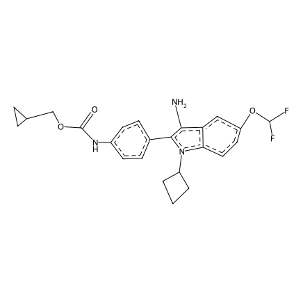 Nc1c(-c2ccc(NC(=O)OCC3CC3)cc2)n(C2CCC2)c2ccc(OC(F)F)cc12